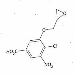 O=C(O)c1cc(OCC2CO2)c(Cl)c([N+](=O)[O-])c1